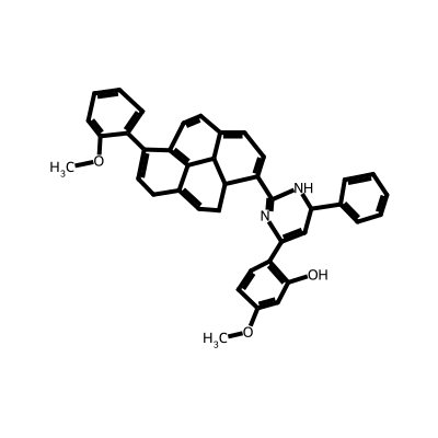 COc1ccc(C2=CC(c3ccccc3)NC(C3=CC=C4C=CC5=C6C(=CCC3C46)CC=C5c3ccccc3OC)=N2)c(O)c1